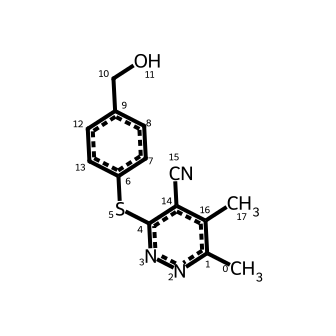 Cc1nnc(Sc2ccc(CO)cc2)c(C#N)c1C